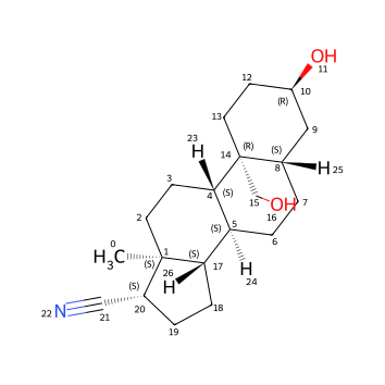 C[C@]12CC[C@H]3[C@@H](CC[C@H]4C[C@H](O)CC[C@@]43CO)[C@@H]1CC[C@@H]2C#N